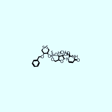 C[C@@]1(O)[C@@H]2OP(=S)(OC3CSSC[C@@H]3OCc3ccccc3)OCC2O[C@H]1n1ccc(=O)[nH]c1=O